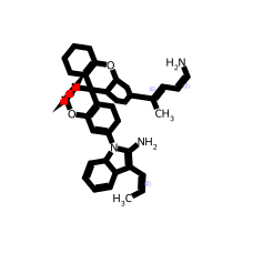 C/C=C\C1=C(N)N(C2=CC3=C(CC2)C2(C4=C(CCCC4)OC4CC(/C(C)=C/C=C\N)CCC42)c2ccccc2O3)C2C=CC=CC12